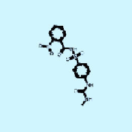 CNC(=O)Nc1ccc(S(=O)(=O)NC(=O)c2ccccc2[N+](=O)[O-])cc1